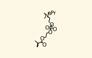 C=C(C)C(=O)OCCOP(=O)([O-])OCC[N+](C)(C)CCC